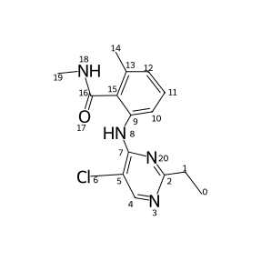 CCc1ncc(Cl)c(Nc2cccc(C)c2C(=O)NC)n1